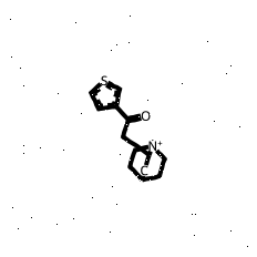 O=C(CC1CC2CC[N+]1CC2)c1ccsc1